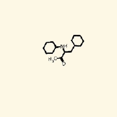 CC(=O)C(CC1CCCCC1)NC1CCCCC1